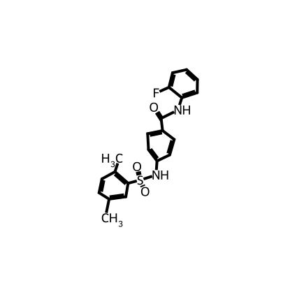 Cc1ccc(C)c(S(=O)(=O)Nc2ccc(C(=O)Nc3ccccc3F)cc2)c1